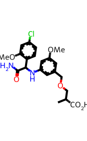 COc1cc(COCC(C)C(=O)O)cc(NC(C(N)=O)c2ccc(Cl)cc2OC)c1